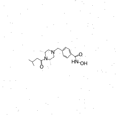 CC(C)CC(=O)N1[C@H](C)CN(Cc2ccc(C(=O)NO)cc2)C[C@@H]1C